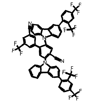 N#Cc1cc(-c2cc(-n3c4ccccc4c4cc(-c5ccc(C(F)(F)F)cc5C(F)(F)F)ccc43)c(C#N)cc2-n2c3ccccc3c3cc(-c4ccc(C(F)(F)F)cc4C(F)(F)F)ccc32)cc(C(F)(F)F)c1